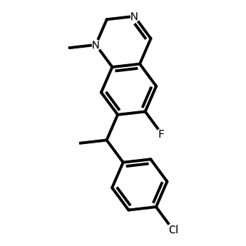 CC(c1ccc(Cl)cc1)c1cc2c(cc1F)C=NCN2C